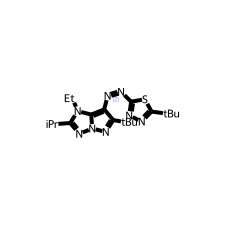 CCn1c(C(C)C)nn2nc(C(C)(C)C)c(/N=N\c3nnc(C(C)(C)C)s3)c12